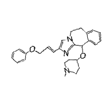 CN1CCC(OC2c3ccccc3CCn3cc(C=CCOc4ccccc4)nc32)CC1